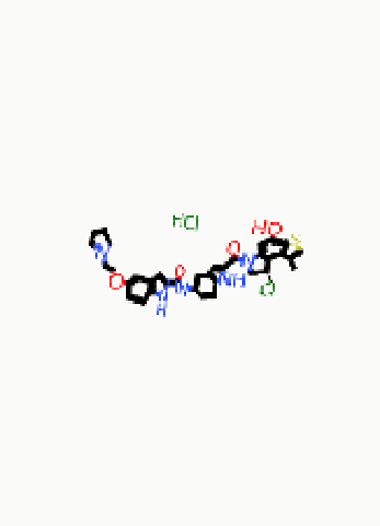 Cc1csc2c(O)cc3c(c12)[C@H](CCl)CN3C(=O)c1cc2cc(NC(=O)c3cc4cc(OCCN5CCCC5)ccc4[nH]3)ccc2[nH]1.Cl